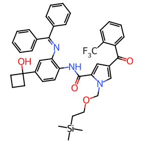 C[Si](C)(C)CCOCn1cc(C(=O)c2ccccc2C(F)(F)F)cc1C(=O)Nc1ccc(C2(O)CCC2)cc1N=C(c1ccccc1)c1ccccc1